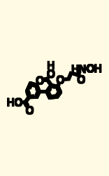 O=C(CCOc1cccc(-c2cccc(C(=O)O)c2)c1C(=O)O)NO